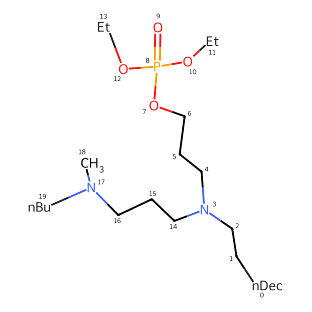 CCCCCCCCCCCCN(CCCOP(=O)(OCC)OCC)CCCN(C)CCCC